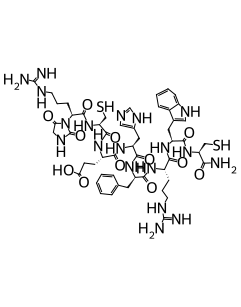 N=C(N)NCCC[C@H](NC(=O)[C@@H](Cc1ccccc1)NC(=O)[C@H](Cc1cnc[nH]1)NC(=O)[C@H](CCC(=O)O)NC(=O)[C@H](CS)NC(=O)[C@H](CCCNC(=N)N)N1C(=O)CNC1=O)C(=O)N[C@@H](Cc1c[nH]c2ccccc12)C(=O)N[C@@H](CS)C(N)=O